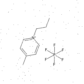 CCC[n+]1ccc(C)cc1.F[P-](F)(F)(F)(F)F